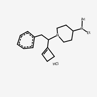 CCN(C(C)=O)C1CCN(C(Cc2ccccc2)C2=CCC2)CC1.Cl